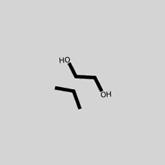 CCC.OCCO